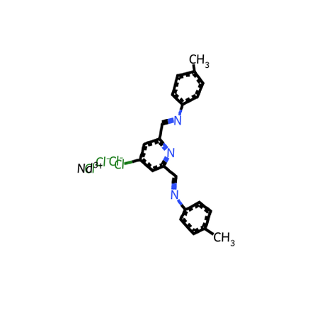 Cc1ccc(N=Cc2cc(Cl)cc(C=Nc3ccc(C)cc3)n2)cc1.[Cl-].[Cl-].[Cl-].[Nd+3]